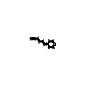 N#CCCCCN1CCOCC1